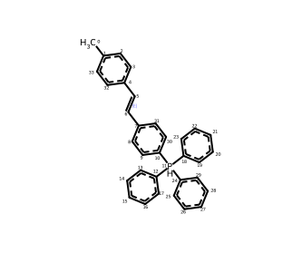 Cc1ccc(/C=C/c2ccc([PH](c3ccccc3)(c3ccccc3)c3ccccc3)cc2)cc1